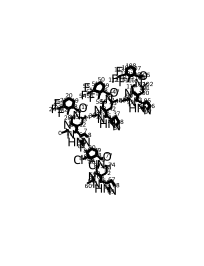 Cc1nc2c(c(-c3ccn[nH]3)n1)CC(C)N(C(=O)c1cccc(C(F)(F)F)c1C)C2.Cc1nc2c(c(-c3ccn[nH]3)n1)CC(C)N(C(=O)c1cccc(C(F)(F)F)c1C)C2.Cc1nc2c(c(-c3ccn[nH]3)n1)C[C@@H](C)N(C(=O)c1ccc(F)c(Cl)c1Cl)C2.Cc1nc2c(c(-c3ccn[nH]3)n1)C[C@H](C)N(C(=O)c1cccc(C(F)(F)F)c1C)C2